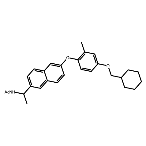 CC(=O)NC(C)c1ccc2cc(Oc3ccc(OCC4CCCCC4)cc3C)ccc2c1